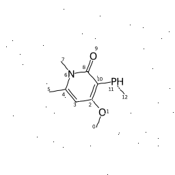 COc1cc(C)n(C)c(=O)c1PC